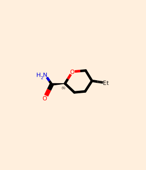 CCC1CC[C@@H](C(N)=O)OC1